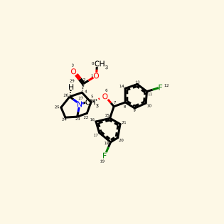 COC(=O)[C@@H]1[C@H](OC(c2ccc(F)cc2)c2ccc(F)cc2)CC2CC[C@@H]1N2C